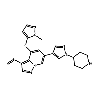 C=Nc1cnn2cc(-c3cnn(C4CCNCC4)c3)cc(Sc3ccnn3C)c12